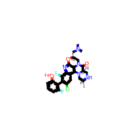 C[C@@H]1CN2c3c4c(nc5c(F)c(-c6c(O)cccc6F)c(Cl)cc35)O[C@H](CN(C)C)CN4C(=O)[C@H]2CN1